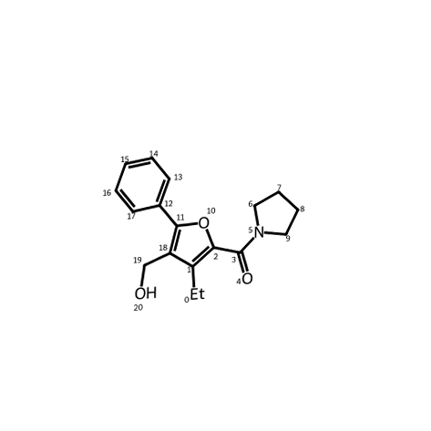 CCc1c(C(=O)N2CCCC2)oc(-c2ccccc2)c1CO